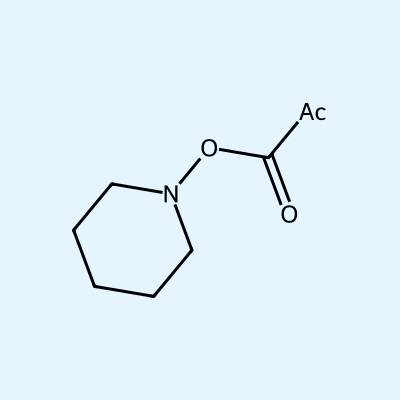 CC(=O)C(=O)ON1CCCCC1